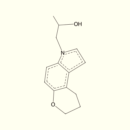 CC(O)Cn1ccc2c3c(ccc21)OCCC3